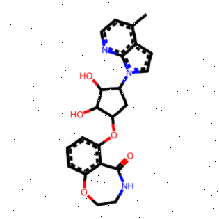 Cc1ccnc2c1ccn2C1CC(Oc2cccc3c2C(=O)NCCO3)C(O)C1O